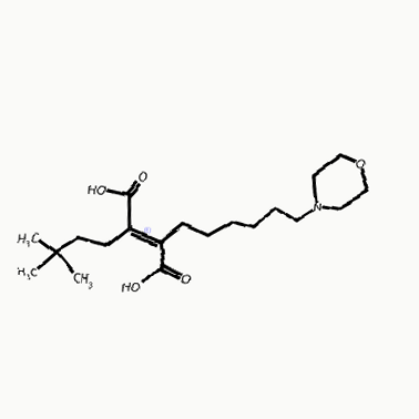 CC(C)(C)CC/C(C(=O)O)=C(/CCCCCCN1CCOCC1)C(=O)O